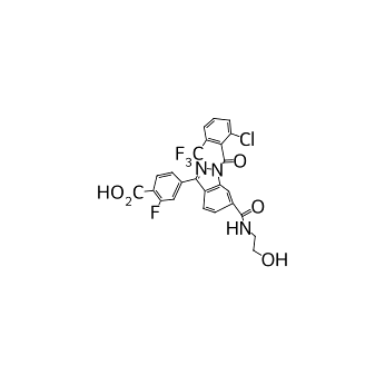 O=C(NCCO)c1ccc2c(-c3ccc(C(=O)O)c(F)c3)nn(C(=O)c3c(Cl)cccc3C(F)(F)F)c2c1